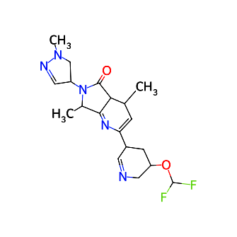 CC1C=C(C2C=NCC(OC(F)F)C2)N=C2C1C(=O)N(C1C=NN(C)C1)C2C